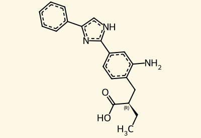 CC[C@H](Cc1ccc(-c2nc(-c3ccccc3)c[nH]2)cc1N)C(=O)O